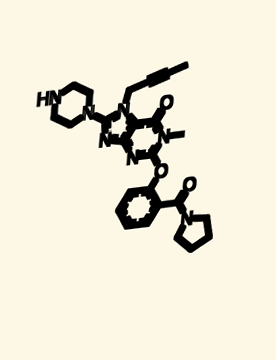 CC#CCn1c(N2CCNCC2)nc2nc(Oc3ccccc3C(=O)N3CCCC3)n(C)c(=O)c21